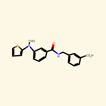 O=CN(c1cccc(C(=O)NCc2cccc(C(=O)O)c2)c1)c1cccs1